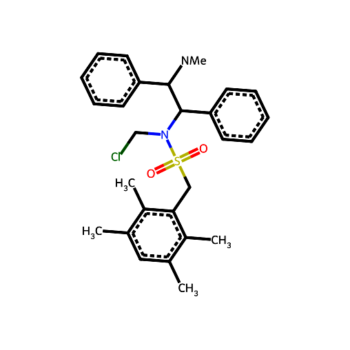 CNC(c1ccccc1)C(c1ccccc1)N(CCl)S(=O)(=O)Cc1c(C)c(C)cc(C)c1C